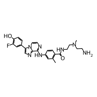 Cc1cc(Nc2nccn3c(-c4ccc(O)c(F)c4)cnc23)ccc1C(=O)NCCN(C)CCN